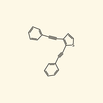 C(#Cc1ccsc1C#Cc1ccccc1)c1ccccc1